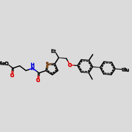 CCC(COc1cc(C)c(-c2ccc(C(C)(C)C)cc2)c(C)c1)c1ccc(C(=O)NCCC(=O)OC)s1